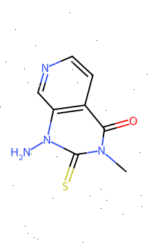 Cn1c(=O)c2ccncc2n(N)c1=S